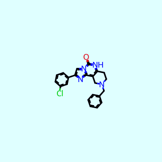 O=c1[nH]c2c(c3nc(-c4cccc(Cl)c4)cn13)CN(Cc1ccccc1)CC2